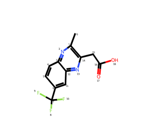 Cc1nc2ccc(C(F)(F)F)cc2nc1CC(=O)O